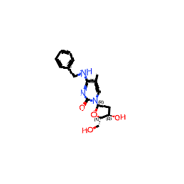 Cc1cn([C@H]2C[C@@H](O)[C@H](CO)O2)c(=O)nc1NCc1ccccc1